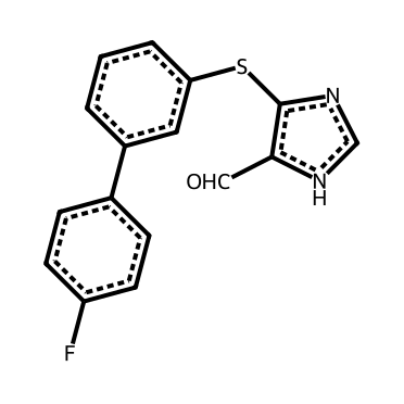 O=Cc1[nH]cnc1Sc1cccc(-c2ccc(F)cc2)c1